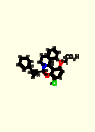 O=C(O)COc1ccc(Cl)cc1C1c2ccccc2CCN1C(=O)[C@@H]1C[C@H]1c1ccccc1